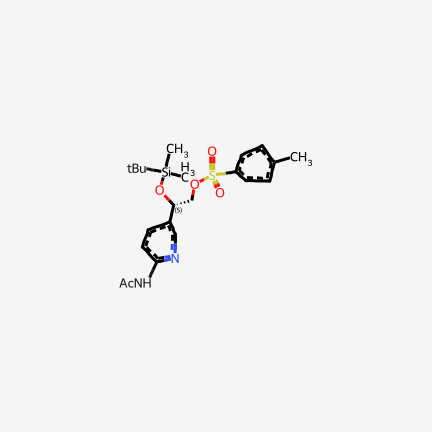 CC(=O)Nc1ccc([C@@H](COS(=O)(=O)c2ccc(C)cc2)O[Si](C)(C)C(C)(C)C)cn1